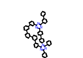 c1ccc(-c2ccc(-c3nc(-c4cccc(-c5ccccc5)c4)nc(-c4cccc(-c5cccc(-c6cccc(-c7cccc(-c8cccc(-c9nc(-c%10ccccc%10)nc(-c%10ccccc%10)n9)c8)c7)c6)c5)c4)n3)cc2)cc1